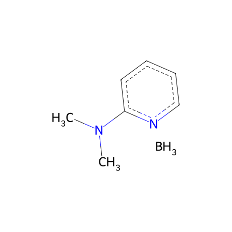 B.CN(C)c1ccccn1